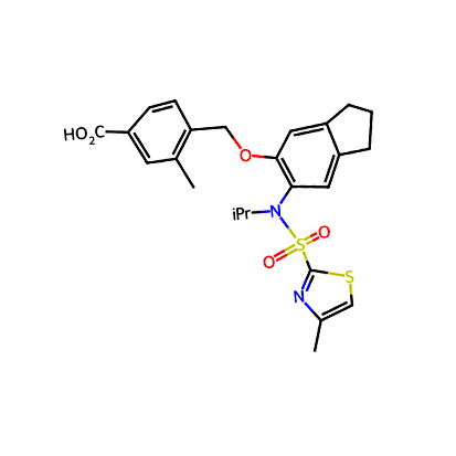 Cc1csc(S(=O)(=O)N(c2cc3c(cc2OCc2ccc(C(=O)O)cc2C)CCC3)C(C)C)n1